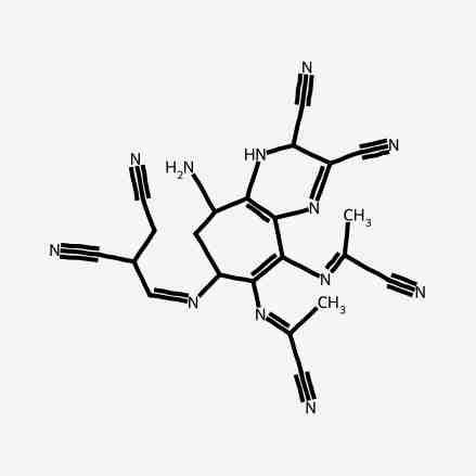 C/C(C#N)=N\C1=C(/N=C(\C)C#N)C(/N=C\C(C#N)CC#N)CC(N)C2=C1N=C(C#N)C(C#N)N2